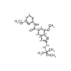 COc1cccc(NC(=O)c2cc(OC)c3nn(CCC(C)(C)OC)cc3c2)n1